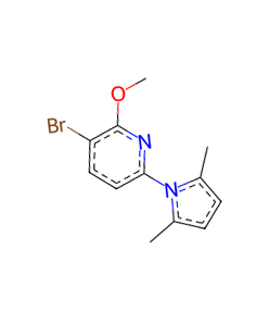 COc1nc(-n2c(C)ccc2C)ccc1Br